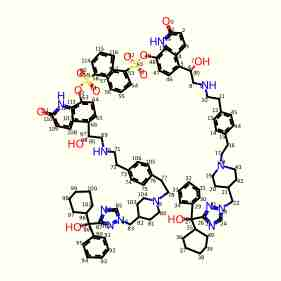 O=c1ccc2c([C@@H](O)CNCCc3ccc(CCN4CCC(Cn5cnc(C(O)(c6ccccc6)C6CCCCC6)n5)CC4)cc3)ccc(OS(=O)(=O)c3cccc4c(S(=O)(=O)Oc5ccc([C@@H](O)CNCCc6ccc(CCN7CCC(Cn8cnc(C(O)(c9ccccc9)C9CCCCC9)n8)CC7)cc6)c6ccc(=O)[nH]c56)cccc34)c2[nH]1